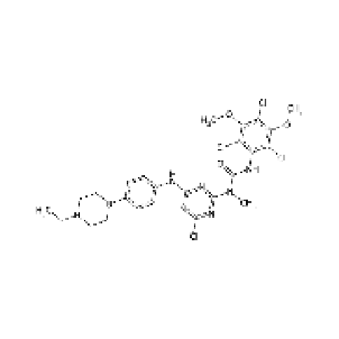 CCN1CCN(c2ccc(Nc3nc(Cl)nc(N(C)C(=O)Nc4c(Cl)c(OC)c(Cl)c(OC)c4Cl)n3)cc2)CC1